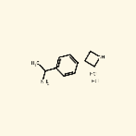 C1CNC1.CC(N)c1ccccc1.Cl.Cl